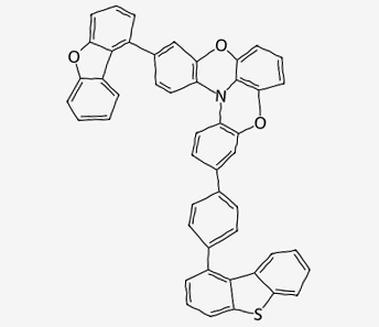 c1cc2c3c(c1)Oc1cc(-c4cccc5oc6ccccc6c45)ccc1N3c1ccc(-c3ccc(-c4cccc5sc6ccccc6c45)cc3)cc1O2